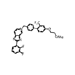 COCCOc1ccc(-c2ccc(Cn3ccc4nc(-c5cccc(F)c5F)nc-4c3)cc2)c(C(F)(F)F)c1